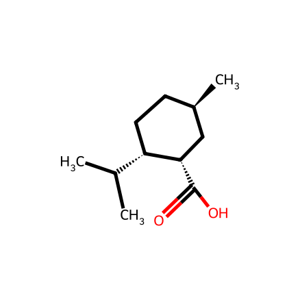 CC(C)[C@@H]1CC[C@@H](C)C[C@@H]1C(=O)O